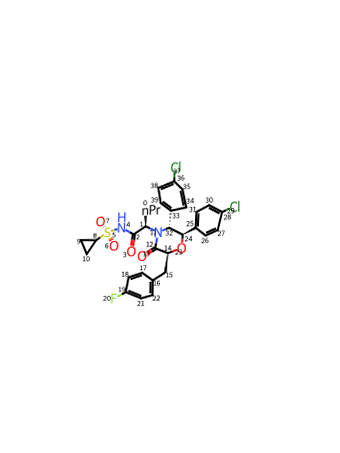 CCC[C@H](C(=O)NS(=O)(=O)C1CC1)N1C(=O)[C@H](Cc2ccc(F)cc2)O[C@H](c2ccc(Cl)cc2)[C@H]1c1ccc(Cl)cc1